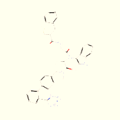 CCCCCN(Cc1ccc(-c2ccccc2-c2nnn[nH]2)cc1)C(=O)C(C)N(C(=O)CNC(=O)C(CS)Cc1ccccc1)c1c[nH]c2ccccc12